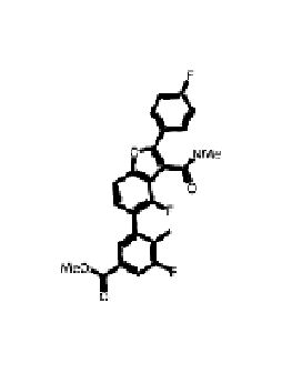 CNC(=O)c1c(-c2ccc(F)cc2)oc2ccc(-c3cc(C(=O)OC)cc(F)c3C)c(F)c12